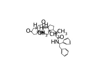 C[C@H](CC(=O)NC(Cc1ccccc1)c1ccccc1)C1CC[C@H]2[C@@H]3C(=O)C[C@@H]4CC(=O)CC[C@]4(C)[C@H]3CC[C@]12C